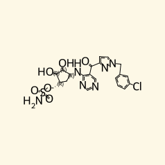 NS(=O)(=O)OC[C@H]1C[C@@H](Nc2ncncc2C(=O)c2ccn(Cc3cccc(Cl)c3)n2)[C@H](O)[C@@H]1O